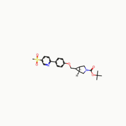 CC(C)(C)OC(=O)N1CC2C(COc3ccc(-c4ccc(S(C)(=O)=O)cn4)cc3)[C@H]2C1